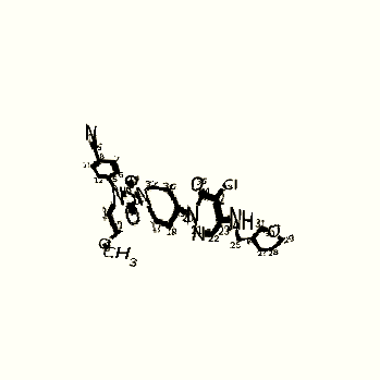 COCCN(c1ccc(C#N)cc1)S(=O)(=O)N1CCC(n2ncc(NC[C@@H]3CCCOC3)c(Cl)c2=O)CC1